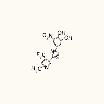 Cc1cc(C(F)(F)F)c(-c2nc(-c3cc(O)c(O)c([N+](=O)[O-])c3)cs2)cn1